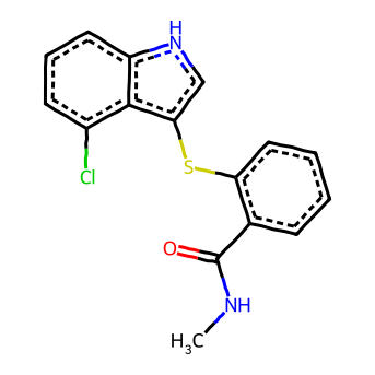 CNC(=O)c1ccccc1Sc1c[nH]c2cccc(Cl)c12